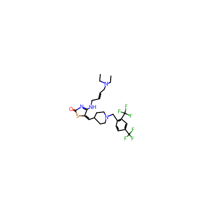 CCN(CC)CC=CCNC1=NC(=O)SC1=CC1CCN(Cc2ccc(C(F)(F)F)cc2C(F)(F)F)CC1